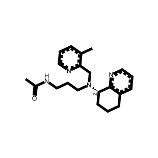 CC(=O)NCCCN(Cc1ncccc1C)[C@H]1CCCc2cccnc21